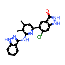 Cc1cc(-c2cc3c(=O)[nH][nH]c3cc2Cl)nc(Nc2n[nH]c3ccccc23)c1C